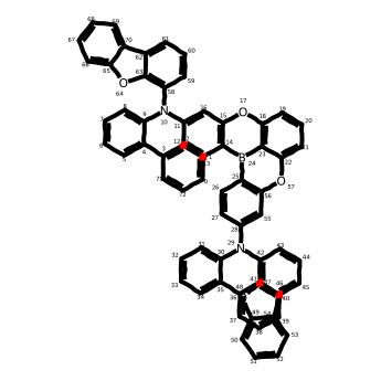 c1ccc(-c2ccccc2N(c2ccc3c(c2)Oc2cccc4c2B3c2ccc(N(c3ccccc3-c3ccccc3)c3cccc5c3oc3ccccc35)cc2O4)c2cccc3c2oc2ccccc23)cc1